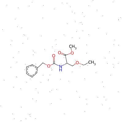 CCOCC(NC(=O)OCc1ccccc1)C(=O)OC